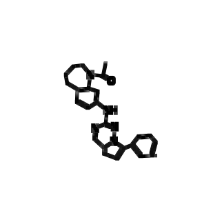 CC(=O)N1CCCCc2ccc(Nc3ncc4ccc(-c5c[c]ccc5)n4n3)cc21